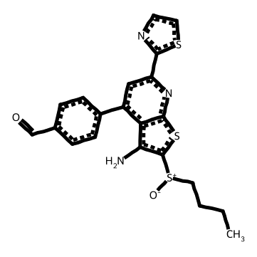 CCCC[S+]([O-])c1sc2nc(-c3nccs3)cc(-c3ccc(C=O)cc3)c2c1N